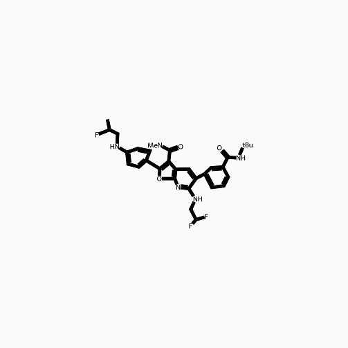 CNC(=O)c1c(-c2ccc(NCC(C)F)cc2)oc2nc(NCC(F)F)c(-c3cccc(C(=O)NC(C)(C)C)c3)cc12